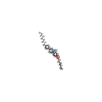 CCCCCCCCCC1CCC(c2ccc(-c3ccc(OCCCCCCCC)cc3F)nc2)CC1